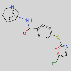 O=C(NC1CC2CCN(CC2)C1)c1ccc(Sc2ncc(Cl)o2)cc1